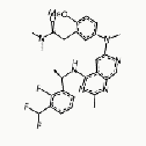 COc1ccc(N(C)c2cc3c(N[C@H](C)c4cccc(C(F)F)c4F)nc(C)nc3cn2)cc1CC(=O)N(C)C